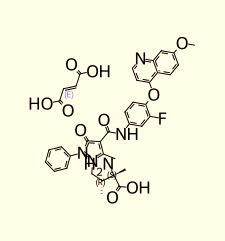 COc1ccc2c(Oc3ccc(NC(=O)c4c(C)n(C[C@@H](C)[C@](C)(N)C(=O)O)n(-c5ccccc5)c4=O)cc3F)ccnc2c1.O=C(O)/C=C/C(=O)O